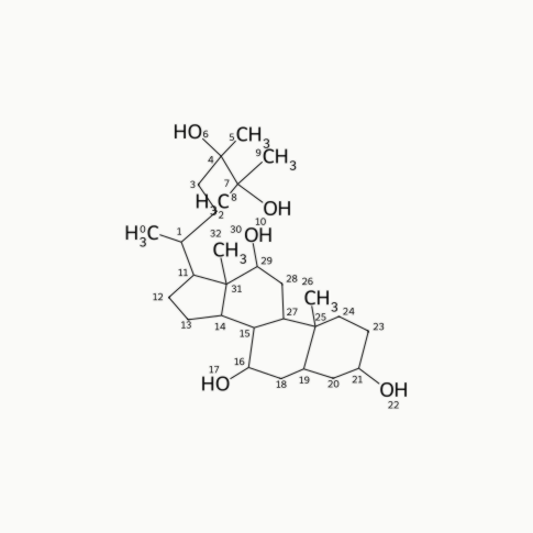 CC(CCC(C)(O)C(C)(C)O)C1CCC2C3C(O)CC4CC(O)CCC4(C)C3CC(O)C12C